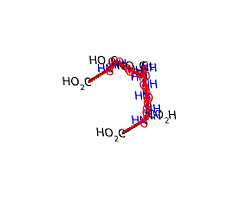 CCN[C@@H](CCCCNC(=O)[C@H](CCCCNC(=O)COCCOCCNC(=O)COCCOCCNC(=O)CC[C@H](NC(=O)[C@H]1CC[C@H](CNC(=O)CCCCCCCCCCCCCCCCCCC(=O)O)CC1)C(=O)O)NC(=O)COCCOCCNC(=O)COCCOCCNC(=O)CC[C@H](NC(=O)[C@H]1CC[C@H](CNC(=O)CCCCCCCCCCCCCCCCCCC(=O)O)CC1)C(=O)O)C(=O)O